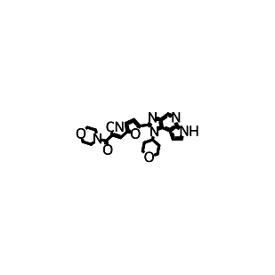 N#C/C(=C\c1ccc(-c2nc3cnc4[nH]ccc4c3n2C2CCOCC2)o1)C(=O)N1CCOCC1